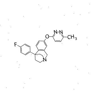 Cc1ccc(Oc2ccc3c(c2)CN2CCC3(c3ccc(F)cc3)CC2)nn1